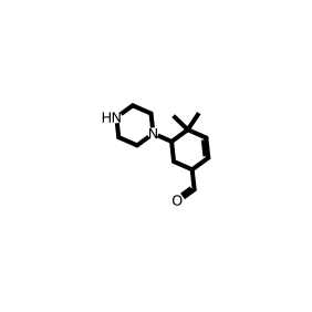 CC1(C)C=CC(C=O)CC1N1CCNCC1